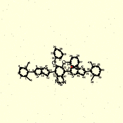 Cc1cccc(C)c1-c1cc2sc(-c3c(Oc4ccccc4)c(Oc4ccccc4)c(-c4cc5sc(-c6c(C)cccc6C)cc5s4)c4nsnc34)cc2s1